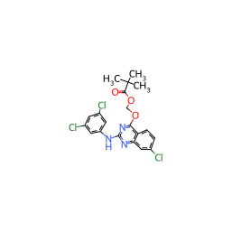 CC(C)(C)C(=O)OCOc1nc(Nc2cc(Cl)cc(Cl)c2)nc2cc(Cl)ccc12